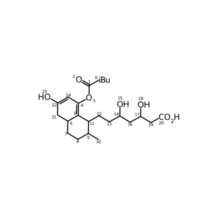 CCC(C)C(=O)OC1=C2C(CCC(C)C2CCC(O)CC(O)CC(=O)O)CC(O)=C1